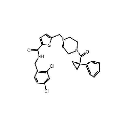 O=C(NCc1ccc(Cl)cc1Cl)c1ccc(CN2CCN(C(=O)C3(c4ccccc4)CC3)CC2)s1